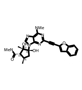 CNC(=O)[C@H]1[C@H](C)C[C@@](O)(n2cnc3c(NC)nc(C#Cc4cc5ccccc5o4)nc32)[C@@]1(C)O